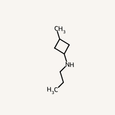 CCCNC1CC(C)C1